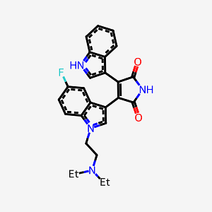 CCN(CC)CCn1cc(C2=C(c3c[nH]c4ccccc34)C(=O)NC2=O)c2cc(F)ccc21